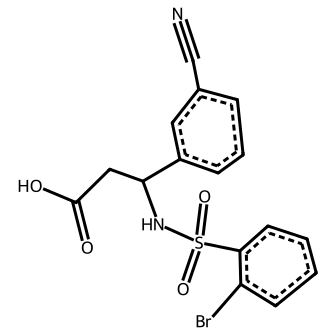 N#Cc1cccc(C(CC(=O)O)NS(=O)(=O)c2ccccc2Br)c1